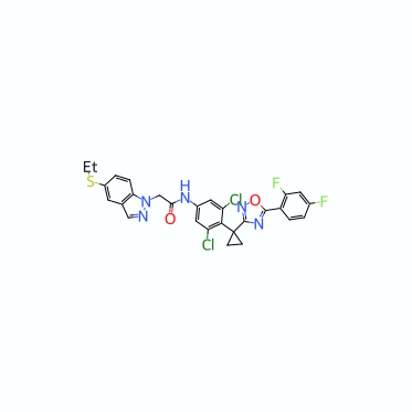 CCSc1ccc2c(cnn2CC(=O)Nc2cc(Cl)c(C3(c4noc(-c5ccc(F)cc5F)n4)CC3)c(Cl)c2)c1